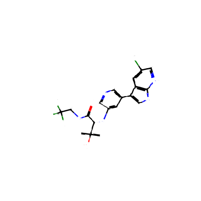 CC(C)(O)[C@@H](Nc1cncc(-c2c[nH]c3ncc(Cl)cc23)c1)C(=O)NCC(F)(F)F